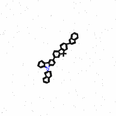 CC1(C)c2cc(-c3ccc4ccccc4c3)ccc2-c2ccc(-c3ccc4c(c3)c3ccccc3n4-c3ccc4ccccc4c3)cc21